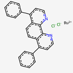 [Cl-].[Cl-].[Ru+2].c1ccc(-c2ccnc3c2ccc2c(-c4ccccc4)ccnc23)cc1